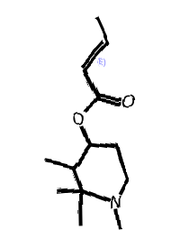 C/C=C/C(=O)OC1CCN(C)C(C)(C)C1C